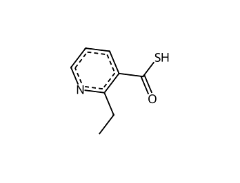 CCc1ncccc1C(=O)S